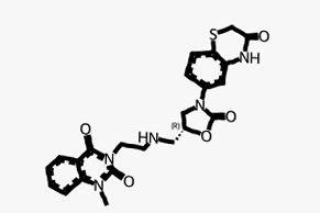 Cn1c(=O)n(CCNC[C@@H]2CN(c3ccc4c(c3)NC(=O)CS4)C(=O)O2)c(=O)c2ccccc21